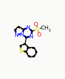 CS(=O)(=O)c1nc(-c2csc3ccccc23)n2nccc2n1